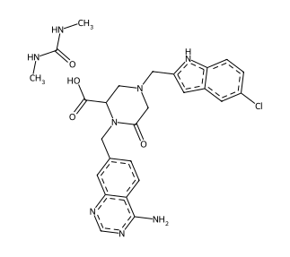 CNC(=O)NC.Nc1ncnc2cc(CN3C(=O)CN(Cc4cc5cc(Cl)ccc5[nH]4)CC3C(=O)O)ccc12